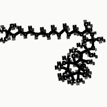 CC(=C(C)[Si](C)(C)O[Si](C)(C)O[SiH](C)O[SiH2]O[SiH2]O[SiH2]O[SiH2]O[SiH2]O[SiH2]O[Si](C)(C)C)C1(C)C(C)(C)C(C)(C)C(C)(C)C(C)(C)C1(C)C